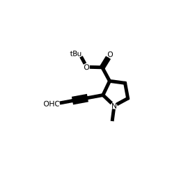 CN1CCC(C(=O)OC(C)(C)C)C1C#CC=O